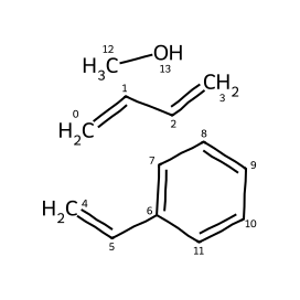 C=CC=C.C=Cc1ccccc1.CO